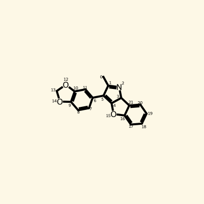 CC1=NC2C(=C1c1ccc3c(c1)OCO3)Oc1ccccc12